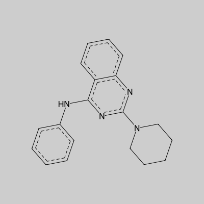 c1ccc(Nc2nc(N3CCCCC3)nc3ccccc23)cc1